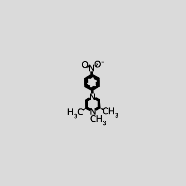 C[C@@H]1CN(c2ccc([N+](=O)[O-])cc2)C[C@H](C)N1C